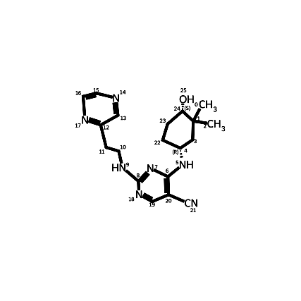 CC1(C)C[C@H](Nc2nc(NCCc3cnccn3)ncc2C#N)CC[C@@H]1O